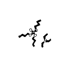 CCCCOP(=O)(OCCCC)OCCCC.CCN(CC)CC